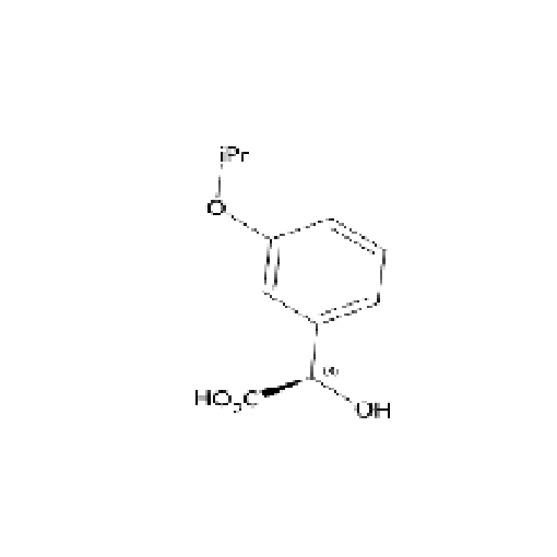 CC(C)Oc1cccc([C@@H](O)C(=O)O)c1